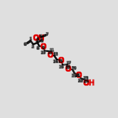 C=CCC(O)(CC=C)COCCOCCOCCOCCOCCO